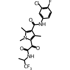 Cc1c(C(=O)Nc2ccc(F)c(Cl)c2)c(C)n(C)c1C(=O)C(=O)NC(C)C(F)(F)F